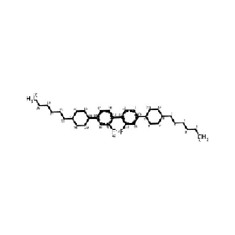 CCCCCCC1CCC(c2ccc(-c3ccc(C4CCC(CCCCCC)CC4)cc3F)c(F)c2)CC1